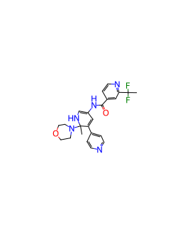 CC(F)(F)c1cc(C(=O)NC2=CNC(C)(N3CCOCC3)C(c3ccncc3)=C2)ccn1